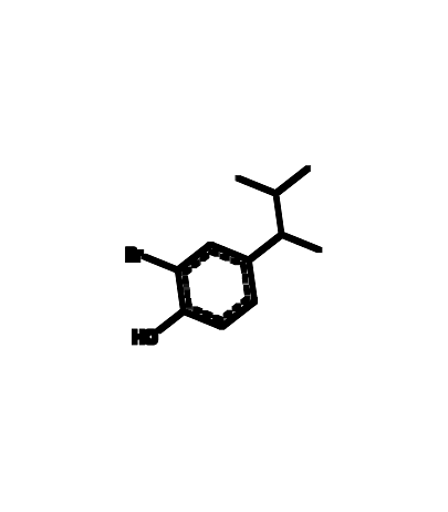 CC(C)C(C)c1ccc(O)c(Br)c1